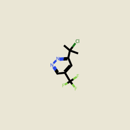 CC(C)(Cl)c1cc(C(F)(F)F)cnn1